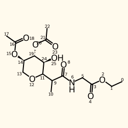 CCOC(=O)CNC(=O)C(C)C1OC[C@@H](OC(C)=O)[C@H](OC(C)=O)[C@H]1O